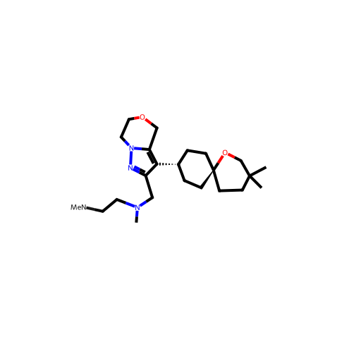 CNCCN(C)Cc1nn2c(c1[C@H]1CC[C@@]3(CCC(C)(C)CO3)CC1)COCC2